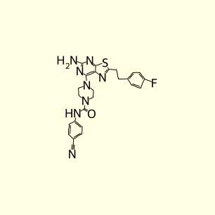 N#Cc1ccc(NC(=O)N2CCN(c3nc(N)nc4sc(CCc5ccc(F)cc5)nc34)CC2)cc1